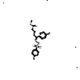 COC(=O)CCCC(=NNS(=O)(=O)c1ccc(C)cc1)c1ccc(F)cc1